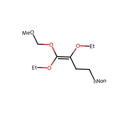 CCCCCCCCCCC/C(OCC)=C(\OCC)OCOC